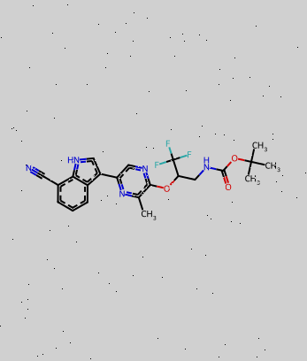 Cc1nc(-c2c[nH]c3c(C#N)cccc23)cnc1OC(CNC(=O)OC(C)(C)C)C(F)(F)F